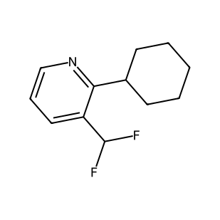 FC(F)c1cccnc1C1CCCCC1